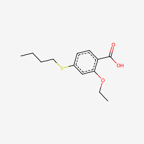 CCCCSc1ccc(C(=O)O)c(OCC)c1